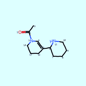 CC(=O)N1C=C(C2CCCCN2)CCC1